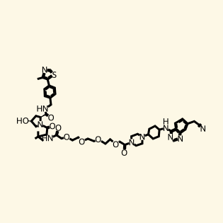 Cc1ncsc1-c1ccc(CNC(=O)[C@@H]2C[C@@H](O)CN2C(=O)[C@@H](NC(=O)COCCOCCOCCOCC(=O)N2CCN(C3CCC(Nc4ncnc5cc(CC#N)ccc45)CC3)CC2)C(C)(C)C)cc1